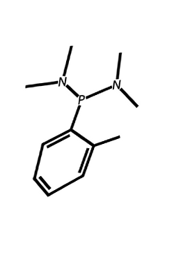 Cc1ccccc1P(N(C)C)N(C)C